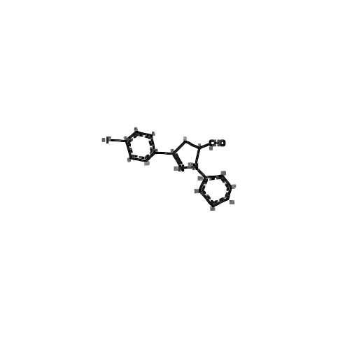 O=CC1CC(c2ccc(F)cc2)=NN1c1ccccc1